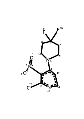 O=[N+]([O-])c1c(N2CCC(F)(F)CC2)ccnc1Cl